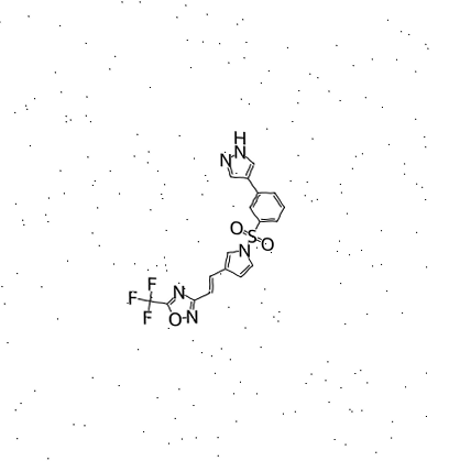 O=S(=O)(c1cccc(-c2cn[nH]c2)c1)n1ccc(/C=C/c2noc(C(F)(F)F)n2)c1